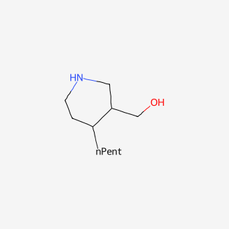 CCCCCC1CCNCC1CO